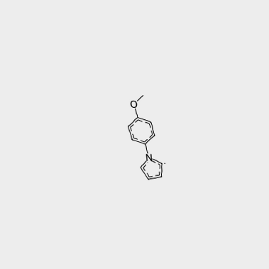 COc1ccc(-n2[c]ccc2)cc1